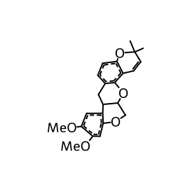 COc1cc2c(cc1OC)C1Cc3ccc4c(c3OC1CO2)C=CC(C)(C)O4